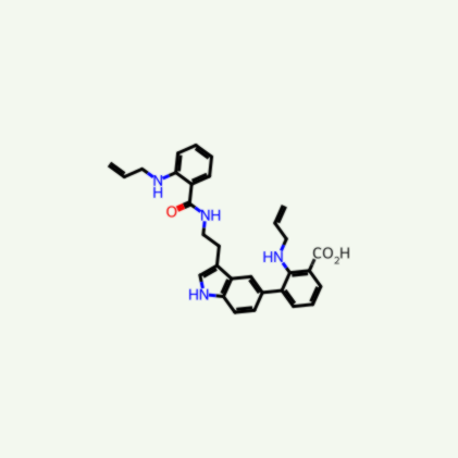 C=CCNc1ccccc1C(=O)NCCc1c[nH]c2ccc(-c3cccc(C(=O)O)c3NCC=C)cc12